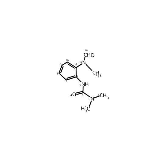 CN(C)C(=O)Nc1ccccc1N(C)C=O